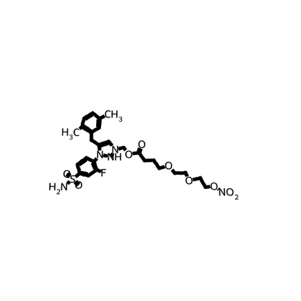 Cc1ccc(C)c(CC2=CN(COC(=O)CCCOCCOCCO[N+](=O)[O-])NN2c2ccc(S(N)(=O)=O)cc2F)c1